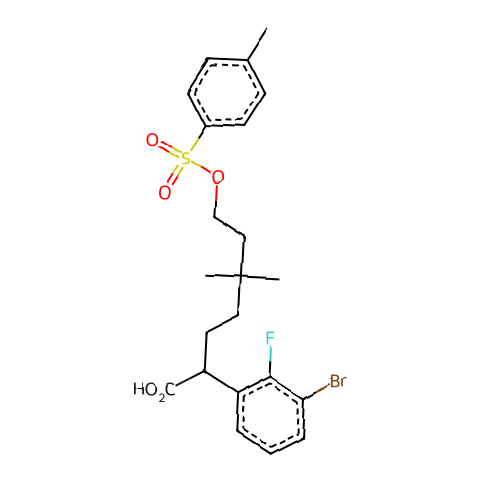 Cc1ccc(S(=O)(=O)OCCC(C)(C)CCC(C(=O)O)c2cccc(Br)c2F)cc1